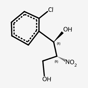 O=[N+]([O-])[C@H](CO)[C@H](O)c1ccccc1Cl